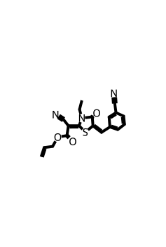 C=CCOC(=O)/C(C#N)=c1\sc(=Cc2cccc(C#N)c2)c(=O)n1CC